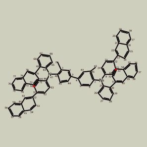 Cc1cc(-c2ccc(N(c3ccc(-c4ccc5ccccc5c4)cc3)c3ccccc3-c3ccc4ccccc4c3)c(C)c2)ccc1N(c1ccc(-c2ccc3ccccc3c2)cc1)c1ccccc1-c1ccc2ccccc2c1